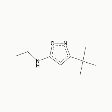 CCNc1cc(C(C)(C)C)no1